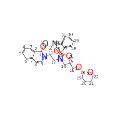 O=c1c2ccccc2ccn1CCN(CCCOC1CCCCO1)S(=O)(=O)c1ccccc1[N+](=O)[O-]